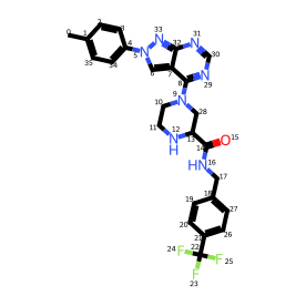 Cc1ccc(-n2cc3c(N4CCNC(C(=O)NCc5ccc(C(F)(F)F)cc5)C4)ncnc3n2)cc1